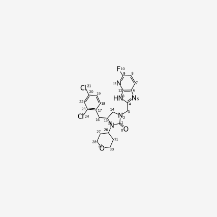 O=C1N(Cc2nc3ccc(F)nc3[nH]2)CC(Cc2ccc(Cl)cc2Cl)N1C1CCOCC1